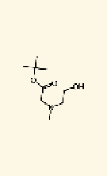 CN(CCO)CC(=O)OC(C)(C)C